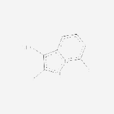 O=Cc1c(I)nn2c(Cl)cccc12